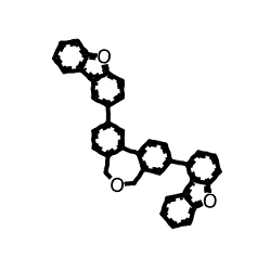 c1ccc2c(c1)oc1ccc(-c3ccc4c(c3)-c3ccc(-c5cccc6oc7ccccc7c56)cc3COC4)cc12